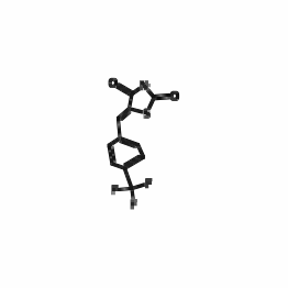 O=C1[N]C(=O)C(=Cc2ccc(C(F)(F)F)cc2)S1